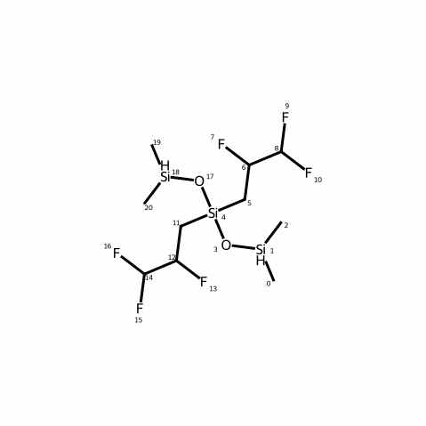 C[SiH](C)O[Si](CC(F)C(F)F)(CC(F)C(F)F)O[SiH](C)C